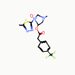 Cc1nnc([N+]2([O-])CN(C)CC2OC(=O)Cc2ccc(C(F)(F)F)cc2)s1